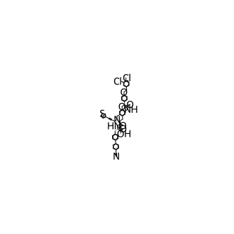 N#Cc1ccc(-c2ccc(C[C@H](NC(=O)C3Cc4cc5c(cc4CN3CC#Cc3ccsc3)O[C@@H](c3ccc(OCc4ccc(Cl)c(Cl)c4)cc3)C(=O)N5)C(=O)O)cc2)cc1